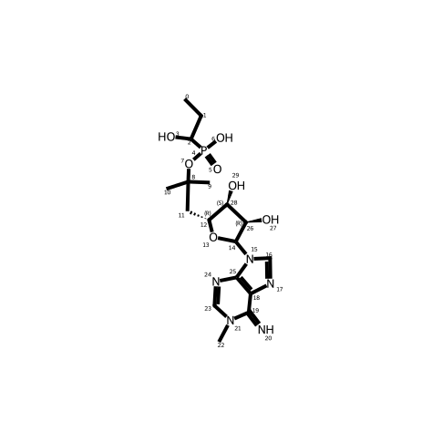 CCC(O)P(=O)(O)OC(C)(C)C[C@H]1OC(n2cnc3c(=N)n(C)cnc32)[C@H](O)[C@@H]1O